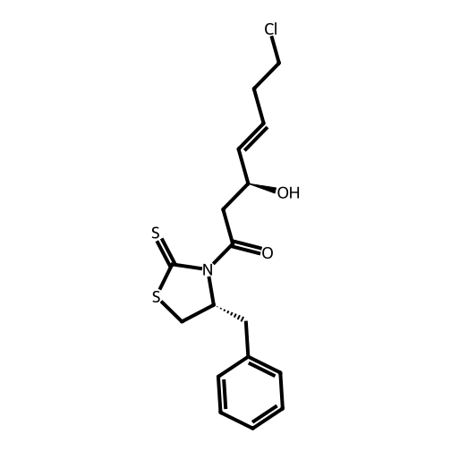 O=C(C[C@H](O)/C=C/CCCl)N1C(=S)SC[C@H]1Cc1ccccc1